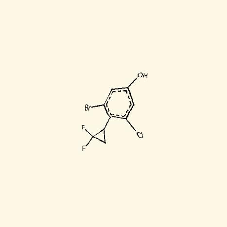 Oc1cc(Cl)c(C2CC2(F)F)c(Br)c1